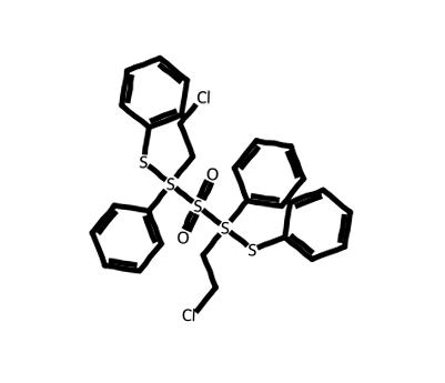 O=S(=O)(S(CCCl)(Sc1ccccc1)c1ccccc1)S(CCCl)(Sc1ccccc1)c1ccccc1